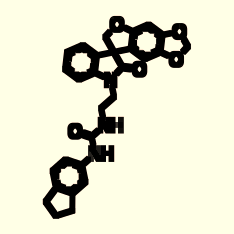 O=C(NCCN1C(=O)C2(COc3cc4c(cc32)OCO4)c2ccccc21)Nc1ccc2c(c1)CCC2